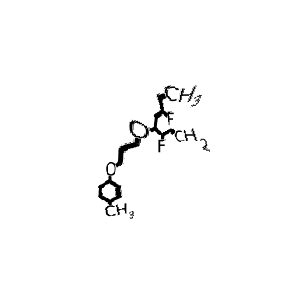 C=CC(F)C(CC(F)CC)OCCCOC1C=CC(C)CC1